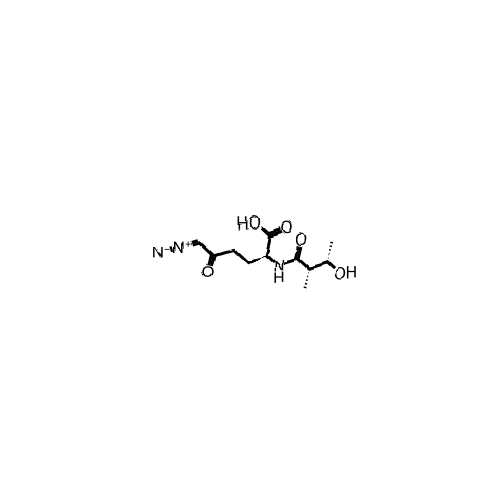 C[C@H](O)[C@H](C)C(=O)N[C@@H](CCC(=O)C=[N+]=[N-])C(=O)O